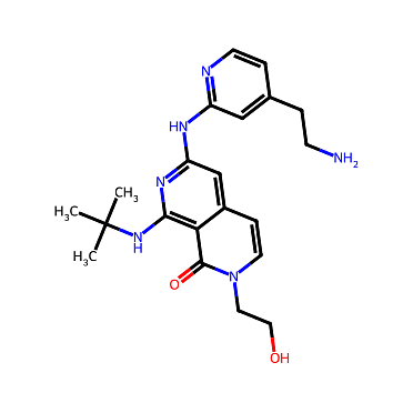 CC(C)(C)Nc1nc(Nc2cc(CCN)ccn2)cc2ccn(CCO)c(=O)c12